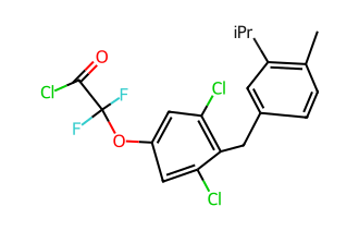 Cc1ccc(Cc2c(Cl)cc(OC(F)(F)C(=O)Cl)cc2Cl)cc1C(C)C